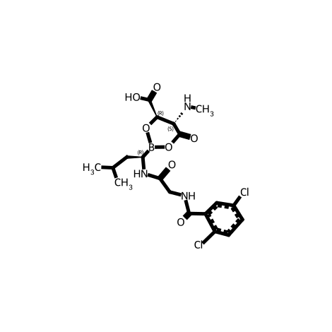 CN[C@@H]1C(=O)OB([C@H](CC(C)C)NC(=O)CNC(=O)c2cc(Cl)ccc2Cl)O[C@H]1C(=O)O